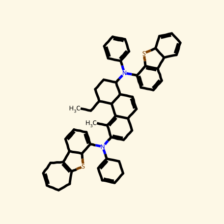 CCC1CCC(N(c2ccccc2)c2cccc3c2SC2C=CC=CC32)C2C=CC3CC=C(N(C4=CC=CCC4)C4=CC=CC5C6=C(CCC=CC6)SC45)C(C)=C3C12